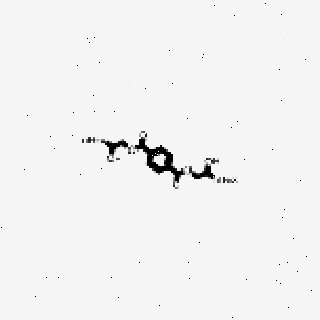 CCCCCCC(O)COC(=O)c1ccc(C(=O)OCC(O)CCCCCC)cc1